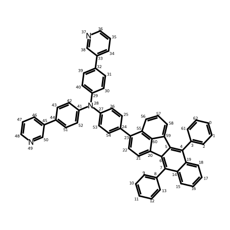 c1ccc(-c2c3c(c(-c4ccccc4)c4ccccc24)-c2ccc(-c4ccc(N(c5ccc(-c6cccnc6)cc5)c5ccc(-c6cccnc6)cc5)cc4)c4cccc-3c24)cc1